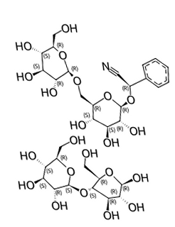 N#C[C@H](O[C@@H]1O[C@H](CO[C@@H]2O[C@H](CO)[C@@H](O)[C@H](O)[C@H]2O)[C@@H](O)[C@H](O)[C@H]1O)c1ccccc1.OC[C@H]1O[C@@H](O[C@H]2[C@H](O)[C@@H](O)[C@H](O)O[C@@H]2CO)[C@H](O)[C@@H](O)[C@@H]1O